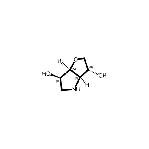 O[C@@H]1CN[C@H]2[C@@H]1OC[C@@H]2O